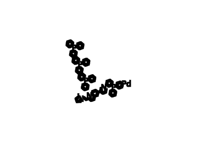 C[C@@H]1CCCN1CCc1ccc2cc(-c3cccnc3)ccc2n1.[Pd].c1ccc(P(c2ccccc2)c2ccccc2)cc1.c1ccc(P(c2ccccc2)c2ccccc2)cc1.c1ccc(P(c2ccccc2)c2ccccc2)cc1.c1ccc(P(c2ccccc2)c2ccccc2)cc1